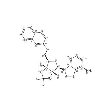 CC1(C)O[C@@H]2[C@H](O1)[C@@H](OCc1ccc3cccnc3c1)C[C@H]2n1ccc2c(N)ncnc21